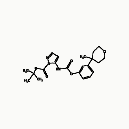 CC(C)(C)OC(=O)n1nccc1NC(=O)Oc1cccc(C2(C)CCOCC2)c1